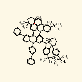 CC1CCC(C)(C)c2cc3c(cc21)N(c1ccc(C(C)(C)C)cc1C1=CC=C=C=C1)c1cc(N2c4ccc(C(C)(C)C)cc4C4(c5ccc(C(C)(C)C)cc5)CCCCC24C)cc2c1B3c1cc(-c3ccccc3)ccc1N2c1ccc(-c2ccccc2)cc1